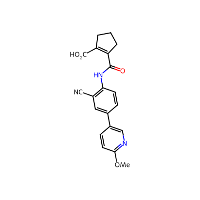 COc1ccc(-c2ccc(NC(=O)C3=C(C(=O)O)CCC3)c(C#N)c2)cn1